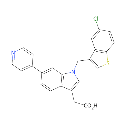 O=C(O)Cc1cn(Cc2csc3ccc(Cl)cc23)c2cc(-c3ccncc3)ccc12